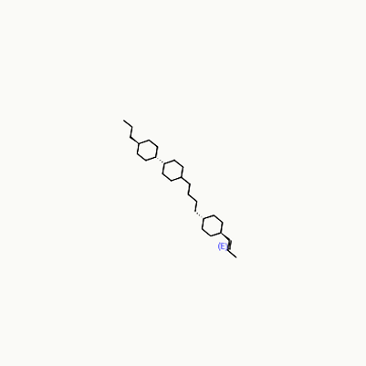 C/C=C/[C@H]1CC[C@H](CCCCC2CCC([C@H]3CC[C@H](CCC)CC3)CC2)CC1